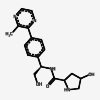 Cc1nccnc1-c1ccc([C@H](CO)NC(=O)C2CC(O)CN2)cc1